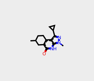 CC1CCc2c(c(=O)[nH]c3c2c(C2CC2)nn3C)C1